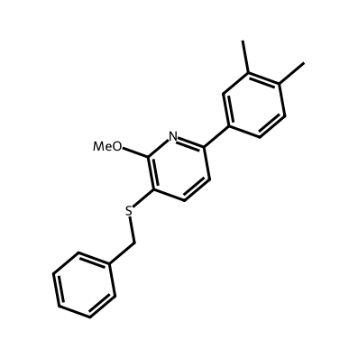 COc1nc(-c2ccc(C)c(C)c2)ccc1SCc1ccccc1